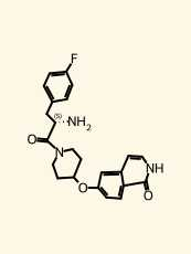 N[C@@H](Cc1ccc(F)cc1)C(=O)N1CCC(Oc2ccc3c(=O)[nH]ccc3c2)CC1